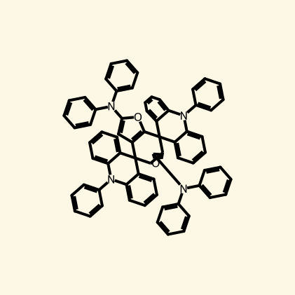 c1ccc(N(c2ccccc2)c2cc3c(o2)C2(c4ccccc4N(c4ccccc4)c4ccccc42)c2cc(N(c4ccccc4)c4ccccc4)oc2C32c3ccccc3N(c3ccccc3)c3ccccc32)cc1